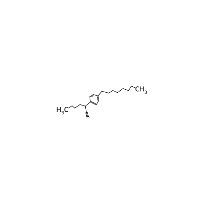 [C]#CC(CCCC)c1ccc(CCCCCCCC)cc1